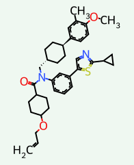 C=CCOC1CCC(C(=O)N(C[C@H]2CC[C@H](c3ccc(OC)c(C)c3)CC2)c2cccc(-c3cnc(C4CC4)s3)c2)CC1